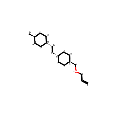 C=CCOC[C@H]1CC[C@H](CC[C@H]2CC[C@H](C)CC2)CC1